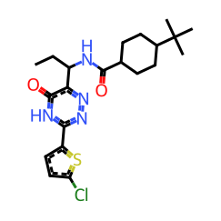 CCC(NC(=O)C1CCC(C(C)(C)C)CC1)c1nnc(-c2ccc(Cl)s2)[nH]c1=O